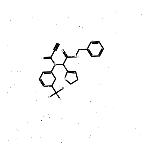 C#CC(=O)N(C1=CC=CC(C(F)(F)F)C1)C(C(=O)NCc1ccccc1)C1=CCCS1